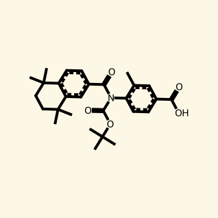 Cc1cc(C(=O)O)ccc1N(C(=O)OC(C)(C)C)C(=O)c1ccc2c(c1)C(C)(C)CCC2(C)C